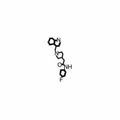 O=C(CC1CCN(Cc2ccnc3ccccc23)CC1)Nc1ccc(F)cc1